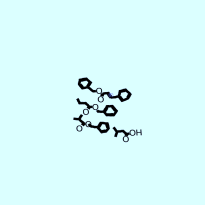 CC(C)C(=O)OCc1ccccc1.CC(C)CC(=O)O.CCCC(=O)OCc1ccccc1.O=C(/C=C/c1ccccc1)OCc1ccccc1